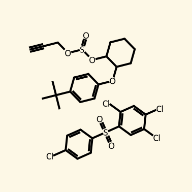 C#CCOS(=O)OC1CCCCC1Oc1ccc(C(C)(C)C)cc1.O=S(=O)(c1ccc(Cl)cc1)c1cc(Cl)c(Cl)cc1Cl